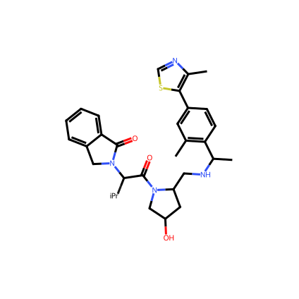 Cc1cc(-c2scnc2C)ccc1C(C)NCC1CC(O)CN1C(=O)C(C(C)C)N1Cc2ccccc2C1=O